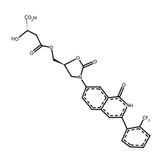 O=C(C[C@H](O)C(=O)O)OC[C@@H]1CN(c2ccc3cc(-c4ccccc4C(F)(F)F)[nH]c(=O)c3c2)C(=O)O1